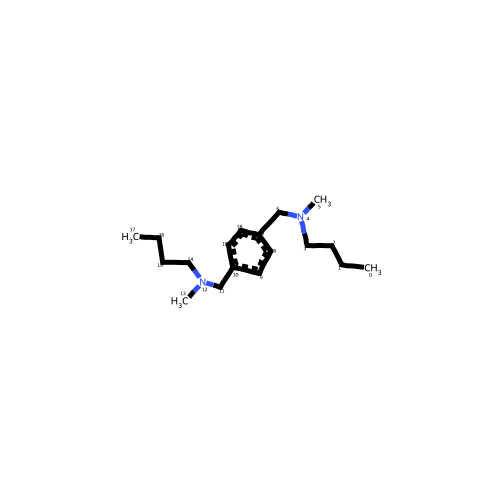 CCCCN(C)Cc1ccc(CN(C)CCCC)cc1